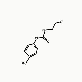 CC(C)(C)c1ccc(NC(=O)NCCCl)cc1